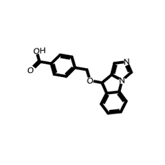 O=C(O)c1ccc(COC2c3ccccc3-n3cncc32)cc1